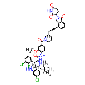 COc1cc(C(=O)N2CCC[C@H](CC#Cc3cccc4c3CN([C@@H]3CCC(=O)NC3=O)C4=O)C2)ccc1NC(=O)[C@@H]1N[C@@H](CC(C)(C)C)[C@@]2(CNc3cc(Cl)ccc32)[C@H]1c1cccc(Cl)c1F